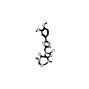 COc1ccc(-c2nnc(Cn3c(Cl)nc4c3C(=O)N(C)COCN4C)o2)cc1OC